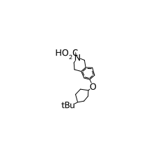 CC(C)(C)C1CCC(Oc2ccc3c(c2)CCN(C(=O)O)C3)CC1